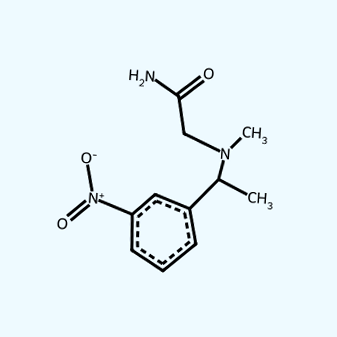 CC(c1cccc([N+](=O)[O-])c1)N(C)CC(N)=O